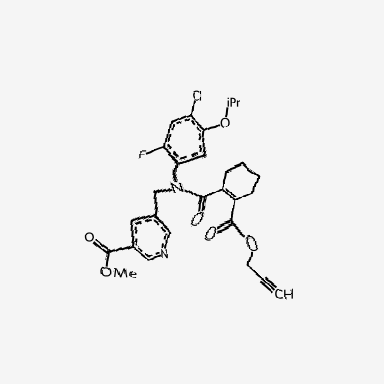 C#CCOC(=O)C1=C(C(=O)N(Cc2cncc(C(=O)OC)c2)c2cc(OC(C)C)c(Cl)cc2F)CCCC1